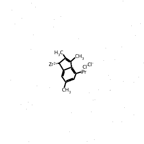 CC1=C(C)[CH]([Zr+2])c2cc(C)cc(C(C)C)c21.[Cl-].[Cl-]